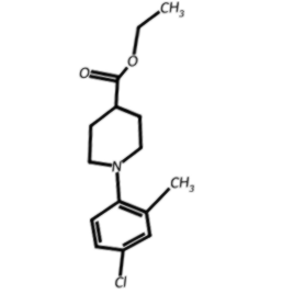 CCOC(=O)C1CCN(c2ccc(Cl)cc2C)CC1